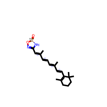 CC1=C(/C=C/C(C)=C/C=C/C(C)=C/C2=NO[S@](=O)N2)C(C)(C)CCC1